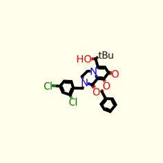 CC(C)(C)C(O)c1cc(=O)c(OCc2ccccc2)c2n1CCN(Cc1ccc(Cl)cc1Cl)C2=O